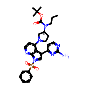 CCCN(C(=O)OC(C)(C)C)[C@H]1CCN(c2ccnc3c2c(-c2ccnc(N)n2)cn3S(=O)(=O)c2ccccc2)C1